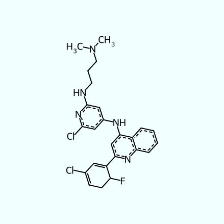 CN(C)CCCNc1cc(Nc2cc(C3=CC(Cl)=CCC3F)nc3ccccc23)cc(Cl)n1